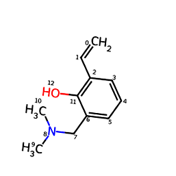 C=Cc1cccc(CN(C)C)c1O